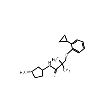 CN1CCC(NC(=O)C(C)(C)COc2ccccc2C2CC2)C1